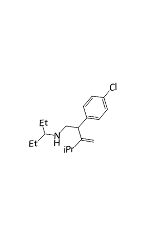 C=C(C(C)C)C(CNC(CC)CC)c1ccc(Cl)cc1